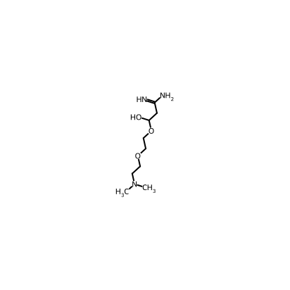 CN(C)CCOCCOC(O)CC(=N)N